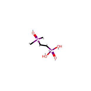 CP(C)(=O)CCP(=O)(O)O